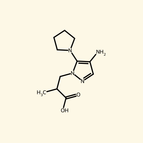 CC(Cn1ncc(N)c1N1CCCC1)C(=O)O